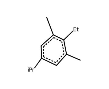 [CH2]Cc1c(C)cc(C(C)C)cc1C